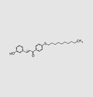 CCCCCCCCCCSc1ccc(C(=O)/C=C/c2cccc(O)c2)cc1